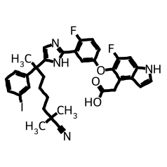 CC(C)(C#N)CCCCC(C)(c1cccc(I)c1)c1cnc(-c2cc(Oc3c(F)cc4[nH]ccc4c3CC(=O)O)ccc2F)[nH]1